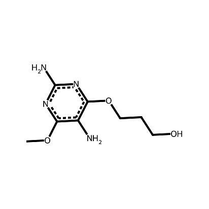 COc1nc(N)nc(OCCCO)c1N